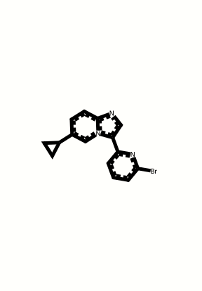 Brc1cccc(-c2cnc3ccc(C4CC4)cn23)n1